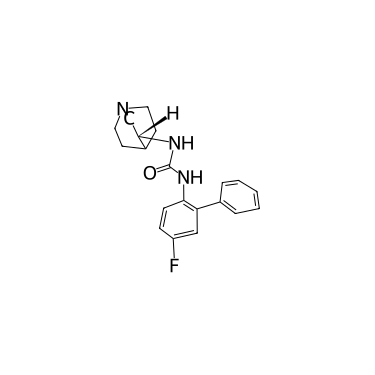 O=C(Nc1ccc(F)cc1-c1ccccc1)N[C@H]1CN2CCC1CC2